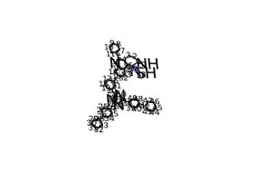 N=C1C=Cc2c(-c3ccccc3)nc3cc(-c4cccc(-c5nc(-c6ccc(-c7ccccc7)cc6)nc(-c6ccc(-c7ccccc7)cc6)n5)c4)ccc3c2/C1=N/S